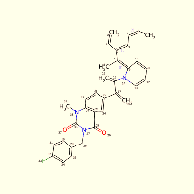 C=CC(=C\C=C/C)/C(C)=C1\C=CC=CN1C(=C)C(=C)c1ccc2c(c1)c(=O)n(Cc1ccc(F)cc1)c(=O)n2C